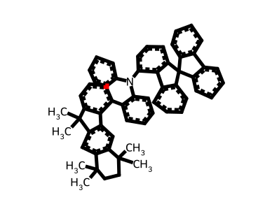 CC1(C)CCC(C)(C)c2cc3c(cc21)-c1c(-c2ccccc2N(c2ccccc2)c2cccc4c2-c2ccccc2C42c4ccccc4-c4ccccc42)cccc1C3(C)C